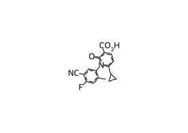 Cc1cc(F)c(C#N)cc1-n1c(C2CC2)ccc(C(=O)O)c1=O